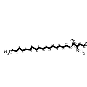 CCCCCCCCCCCCCCCCCCOC(=O)C(N)CCS